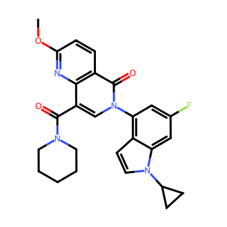 COc1ccc2c(=O)n(-c3cc(F)cc4c3ccn4C3CC3)cc(C(=O)N3CCCCC3)c2n1